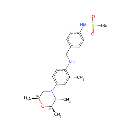 Cc1cc(N2C[C@H](C)O[C@H](C)C2C)ccc1NCc1ccc(NS(=O)(=O)C(C)(C)C)cc1